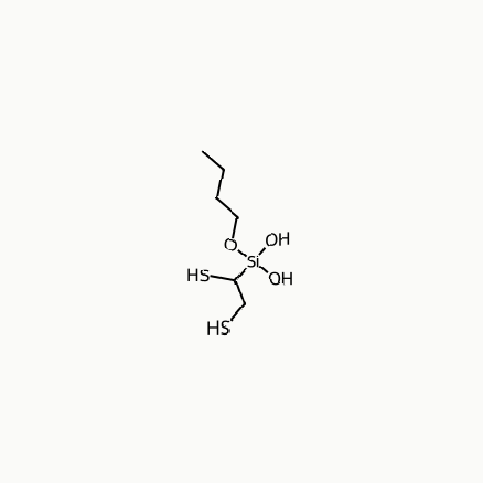 CCCCO[Si](O)(O)C(S)CS